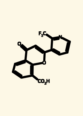 O=C(O)c1cccc2c(=O)cc(-c3cccnc3C(F)(F)F)oc12